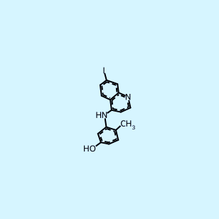 Cc1ccc(O)cc1Nc1ccnc2cc(I)ccc12